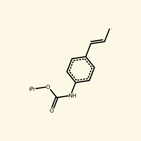 [CH2]C=Cc1ccc(NC(=O)OC(C)C)cc1